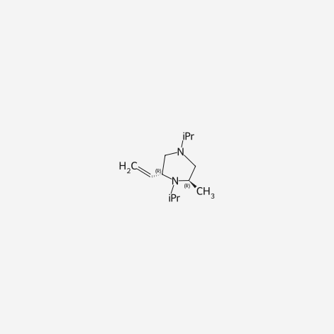 C=C[C@@H]1CN(C(C)C)C[C@@H](C)N1C(C)C